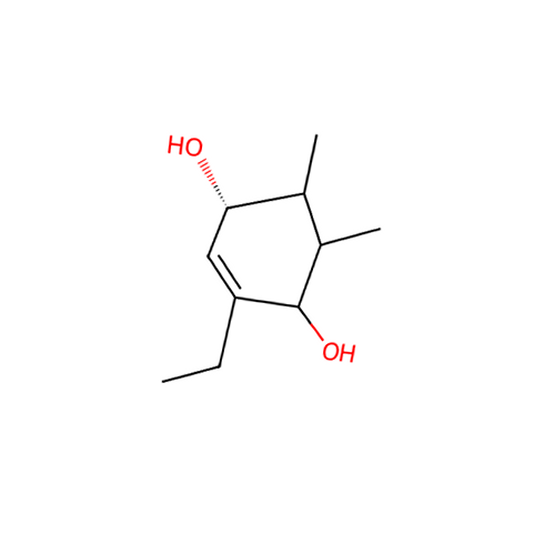 CCC1=C[C@H](O)C(C)C(C)C1O